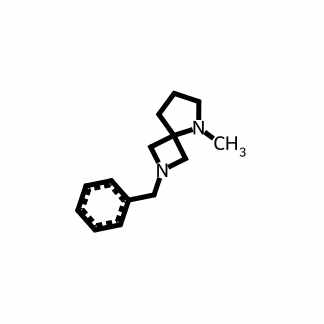 CN1CCCC12CN(Cc1ccccc1)C2